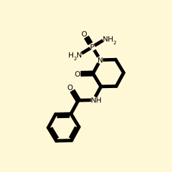 NP(N)(=O)N1CCCC(NC(=O)c2ccccc2)C1=O